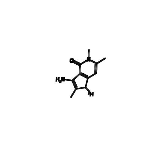 [2H]C1C(C)=C(N)c2c1cc(C)n(C)c2=O